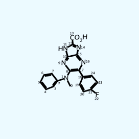 CN(c1ccccc1)c1nc2[nH]c(C(=O)O)nc2nc1-c1ccc(F)cc1